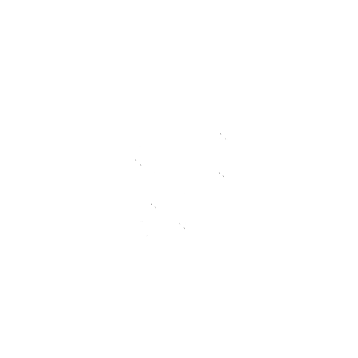 COc1cc(C[C@H]2CN(Cc3cnc(NC(C)=O)s3)CCN2C)ccn1